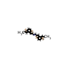 Cc1cc2c(ccc3sc(/C=C/c4cc5c(ccc6sc(C)cc65)s4)cc32)s1